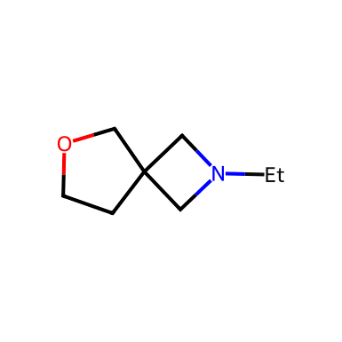 CCN1CC2(CCOC2)C1